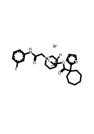 O=C(C[N+]12CCC(CC1)[C@@H](OC(=O)C1(c3cccs3)CCCCCC1)C2)Nc1cccc(F)c1.[Br-]